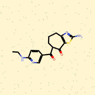 CCNc1ccc(C(=O)C2CCCc3nc(N)sc3C2=O)cn1